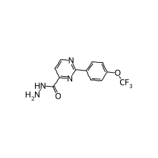 NNC(=O)c1ccnc(-c2ccc(OC(F)(F)F)cc2)n1